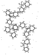 CC1(C)c2ccccc2-c2ccc(-c3ccc4c(c3)c3ccccc3n4-c3cccc(-c4nc(-c5cccc(-n6c7ccccc7c7cc(-c8ccc9c(c8)C(C)(C)c8ccccc8-9)ccc76)c5)nc(-c5ccccc5-c5ccccc5)n4)c3)cc21